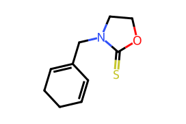 S=C1OCCN1CC1=CCCC=C1